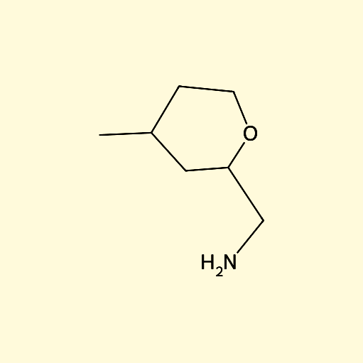 CC1CCOC(CN)C1